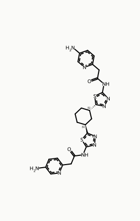 Nc1ccc(CC(=O)Nc2nnc([C@H]3CCC[C@H](c4nnc(NC(=O)Cc5ccc(N)cn5)s4)C3)s2)nc1